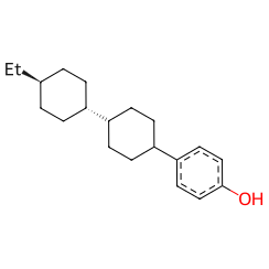 CC[C@H]1CC[C@H](C2CCC(c3ccc(O)cc3)CC2)CC1